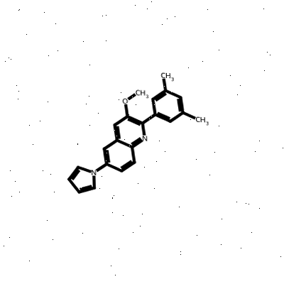 COc1cc2cc(-n3cccc3)ccc2nc1-c1cc(C)cc(C)c1